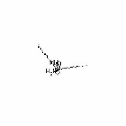 CCCCCCCCCCCCCCCCCCC(CCCCCCCCCCCCCCCCCC)(OCC(=O)O)C(N)=O